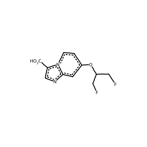 O=C(O)c1cnc2cc(OC(CF)CF)ccn12